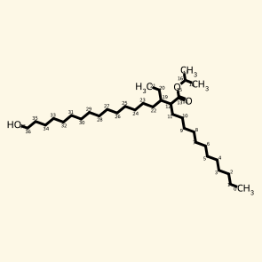 CCCCCCCCCCCCC(C(=O)OC(C)C)C(CC)CCCCCCCCCCCCCCCO